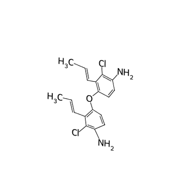 CC=Cc1c(Oc2ccc(N)c(Cl)c2C=CC)ccc(N)c1Cl